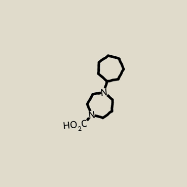 O=C(O)N1CCCN(C2CCCCCC2)CC1